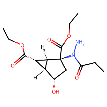 CCOC(=O)[C@H]1[C@H]2[C@@H]1[C@@](C(=O)OCC)(N(N)C(=O)CC)C[C@@H]2O